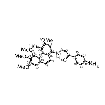 COc1cc(N/C=C\C(=O)c2ccc(N)cc2)c(/C=C\c2cc(OC)c(OC)c(OC)c2)cc1O